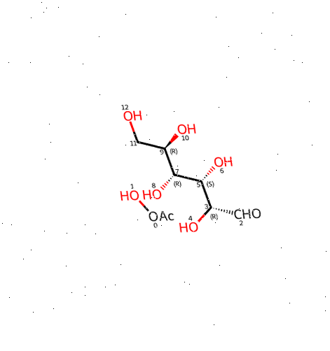 CC(=O)OO.O=C[C@H](O)[C@@H](O)[C@H](O)[C@H](O)CO